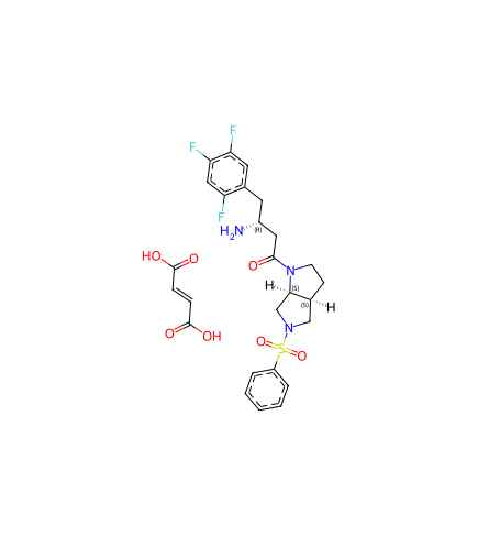 N[C@@H](CC(=O)N1CC[C@H]2CN(S(=O)(=O)c3ccccc3)C[C@H]21)Cc1cc(F)c(F)cc1F.O=C(O)C=CC(=O)O